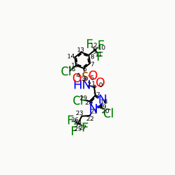 O=C(NS(=O)(=O)c1cc(C(F)(F)F)ccc1Cl)c1nc(Cl)n(CCC(F)(F)F)c1Cl